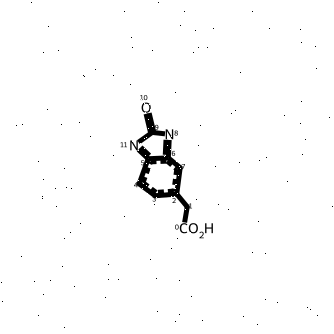 O=C(O)Cc1ccc2c(c1)=NC(=O)N=2